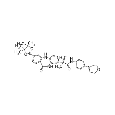 CC(C)(C(=O)Nc1ccc(N2CCOCC2)cc1)c1ccc2c(c1)NC(=O)c1ccc(B3OC(C)(C)C(C)(C)O3)cc1N2